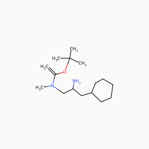 C=C(OC(C)(C)C)N(C)CC(N)CC1CCCCC1